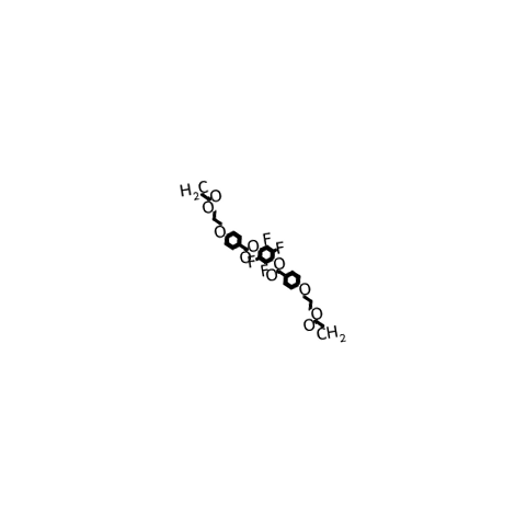 C=CC(=O)OCCCOc1ccc(C(=O)Oc2c(F)c(F)c(OC(=O)c3ccc(OCCCOC(=O)C=C)cc3)c(F)c2F)cc1